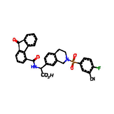 N#Cc1cc(S(=O)(=O)N2CCc3ccc(C(NC(=O)c4cccc5c4-c4ccccc4C5=O)C(=O)O)cc3C2)ccc1F